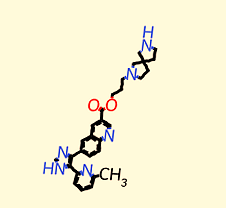 Cc1cccc(-c2[nH]cnc2-c2ccc3ncc(C(=O)OCCCN4CCC5(CCNC5)C4)cc3c2)n1